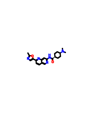 Cc1ncc(-c2ccc3cnc(NC(=O)[C@H]4CC[C@H](N(C)C)CC4)cc3n2)o1